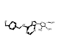 OC[C@H]1OC(n2cnc3c(NCc4ccc(CBr)cc4)ncnc32)[C@H](O)[C@@H]1O